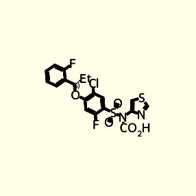 CC[C@H](Oc1cc(F)c(S(=O)(=O)N(C(=O)O)c2cscn2)cc1Cl)c1ccccc1F